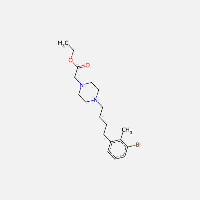 CCOC(=O)CN1CCN(CCCCc2cccc(Br)c2C)CC1